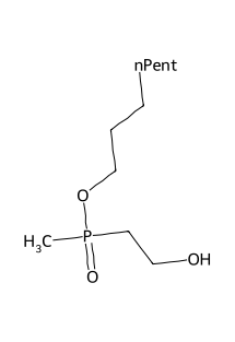 CCCCCCCCOP(C)(=O)CCO